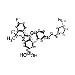 CC(F)(F)c1cc(F)ccc1-c1sc2cc(B(O)O)ccc2c1Oc1ccc(OCCN2CC[C@@H](CF)C2)cc1